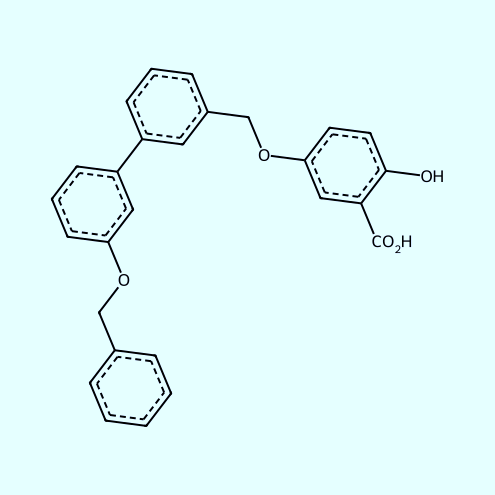 O=C(O)c1cc(OCc2cccc(-c3cccc(OCc4ccccc4)c3)c2)ccc1O